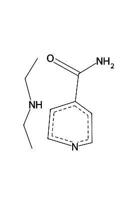 CCNCC.NC(=O)c1ccncc1